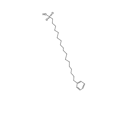 O=S(=O)(O)CCCCCCCCCCCCCCCCCCc1ccccc1